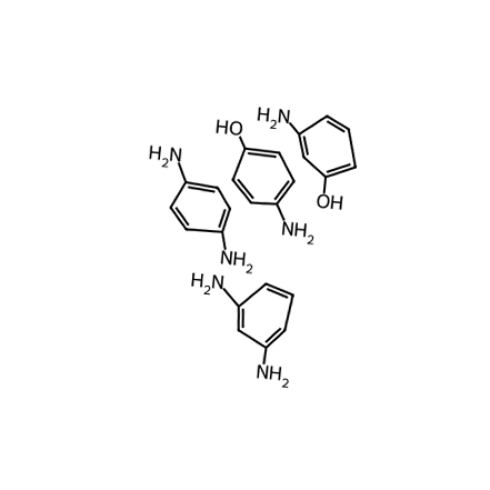 Nc1ccc(N)cc1.Nc1ccc(O)cc1.Nc1cccc(N)c1.Nc1cccc(O)c1